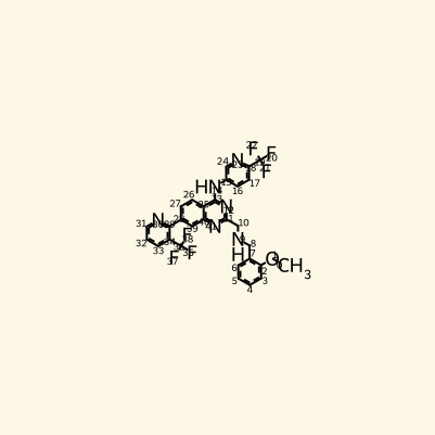 COc1ccccc1CNCc1nc(Nc2ccc(C(F)(F)F)nc2)c2ccc(-c3ncccc3C(F)(F)F)cc2n1